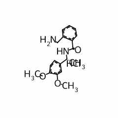 COc1ccc([C@@H](C)NC(=O)c2ccccc2CN)cc1OC.Cl